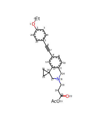 CCOc1ccc(C#Cc2ccc3c(c2)C2(CC2)CN(CCC(=O)OC(C)=O)C3)cc1